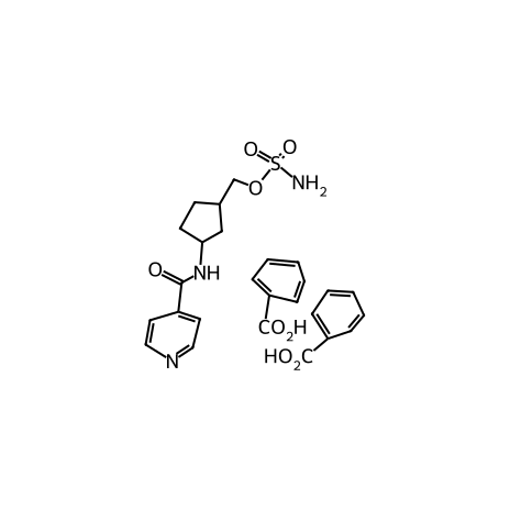 NS(=O)(=O)OCC1CCC(NC(=O)c2ccncc2)C1.O=C(O)c1ccccc1.O=C(O)c1ccccc1